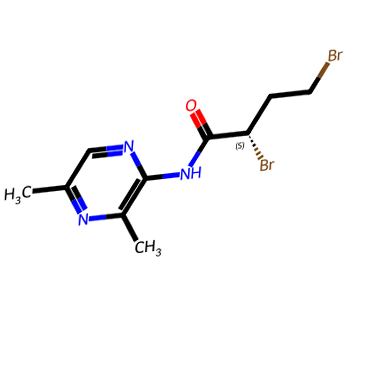 Cc1cnc(NC(=O)[C@@H](Br)CCBr)c(C)n1